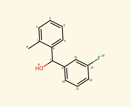 Cc1ccccc1C(O)c1cccc(F)c1